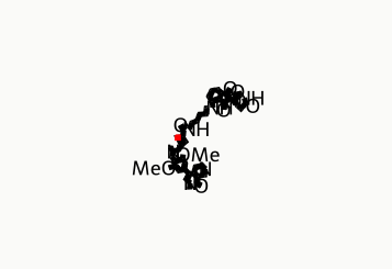 COc1cc(-c2cn(C)c(=O)c3cnccc23)cc(OC)c1CN(C)CC12CC(C(=O)NCCCCCNc3cccc4c3C(=O)N(C3CCC(=O)NC3=O)C4=O)(C1)C2